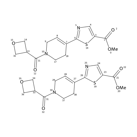 COC(=O)c1cnc(C2=CCN(C(=O)C3COC3)CC2)s1.COC(=O)c1cnc(C2=CCN(C(=O)C3COC3)CC2)s1